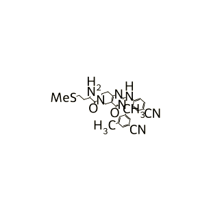 CSCCC(N)C(=O)N1CCc2nc(Nc3ccc(C#N)cc3)nc(Oc3c(C)cc(C#N)cc3C)c2C1